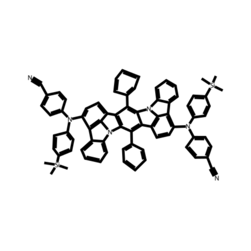 C[Si](C)(C)c1ccc(N(c2ccc(C#N)cc2)c2ccc3c4c(-c5ccccc5)c5c(c(-c6ccccc6)c4n4c6ccccc6c2c34)c2ccc(N(c3ccc(C#N)cc3)c3ccc([Si](C)(C)C)cc3)c3c4ccccc4n5c23)cc1